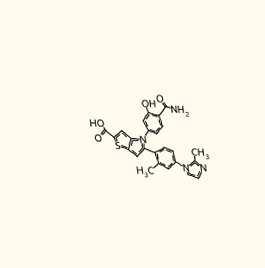 Cc1cc(-n2ccnc2C)ccc1-c1cc2sc(C(=O)O)cc2n1-c1ccc(C(N)=O)c(O)c1